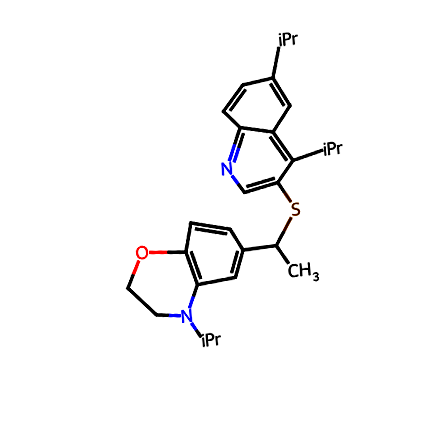 CC(C)c1ccc2ncc(SC(C)c3ccc4c(c3)N(C(C)C)CCO4)c(C(C)C)c2c1